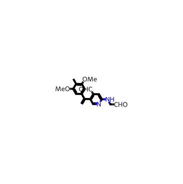 C=C(c1cc(OC)c(C)c(OC)c1)c1cnc(NCC=O)cc1C=O